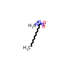 CCCCCCCCCCCCc1c([N+](=O)[O-])ncn1C